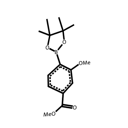 COC(=O)c1ccc(B2OC(C)(C)C(C)(C)O2)c(OC)c1